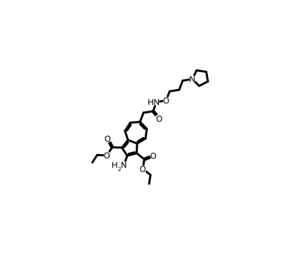 CCOC(=O)c1c2ccc(CC(=O)NOCCCN3CCCC3)ccc-2c(C(=O)OCC)c1N